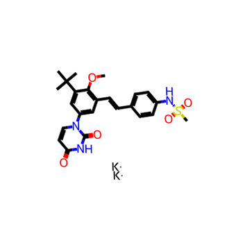 COc1c(C=Cc2ccc(NS(C)(=O)=O)cc2)cc(-n2ccc(=O)[nH]c2=O)cc1C(C)(C)C.[K].[K]